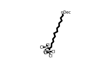 CCCCCCCCCCCCCCCCCCCCCCCC([Si](Cl)(Cl)Cl)[Si](Cl)(Cl)Cl